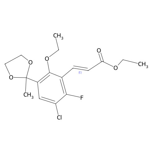 CCOC(=O)/C=C/c1c(F)c(Cl)cc(C2(C)OCCO2)c1OCC